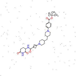 CC(C)(C)OC(=O)c1ccc(N2CCC(CC3CCN(C45CC(C(=O)NC6CCC(=O)NC6=O)(C4)C5)CC3)CC2)cc1